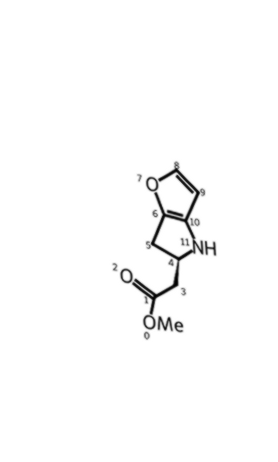 COC(=O)C[C@H]1Cc2occc2N1